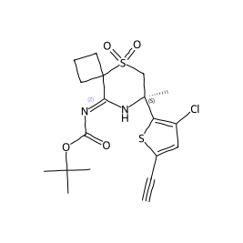 C#Cc1cc(Cl)c([C@]2(C)CS(=O)(=O)C3(CCC3)/C(=N/C(=O)OC(C)(C)C)N2)s1